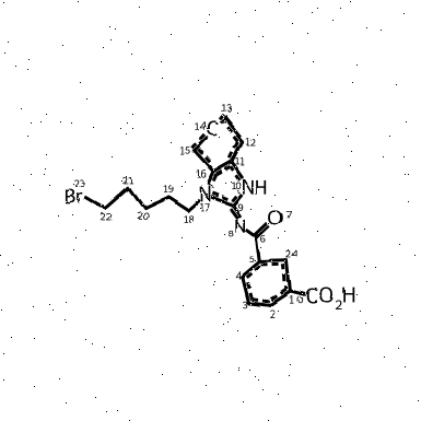 O=C(O)c1cccc(C(=O)/N=c2\[nH]c3ccccc3n2CCCCCBr)c1